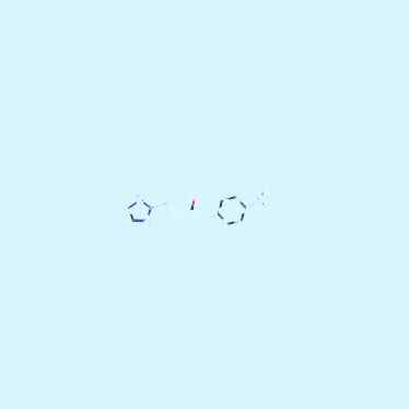 O=C(OCc1ncc[nH]1)Oc1ccc([N+](=O)[O-])cc1